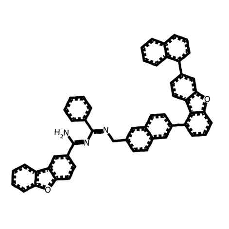 N/C(=N\C(=N/Cc1ccc2cc(-c3cccc4oc5cc(-c6cccc7ccccc67)ccc5c34)ccc2c1)c1ccccc1)c1ccc2oc3ccccc3c2c1